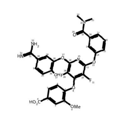 COc1cc(C(=O)O)ccc1Oc1c(F)c(Oc2cccc(C(=O)N(C)C)c2)nc(Oc2cc(C(=N)N)ccc2O)c1F